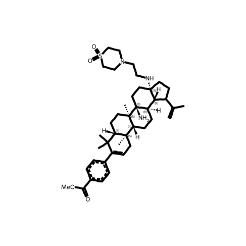 C=C(C)C1CC[C@]2(NCCN3CCS(=O)(=O)CC3)CC[C@]3(N)[C@H](CC[C@@H]4[C@@]5(C)CC=C(c6ccc(C(=O)OC)cc6)C(C)(C)[C@@H]5CC[C@]43C)[C@@H]12